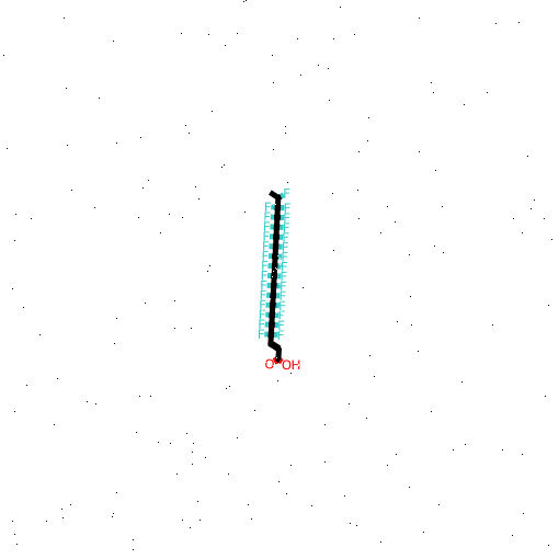 CC(F)C(F)(F)C(F)(F)C(F)(F)C(F)(F)C(F)(F)C(F)(F)C(F)(F)C(F)(F)C(F)(F)C(F)(F)C(F)(F)C(F)(F)C(F)(F)C(F)(F)C=CC(=O)O